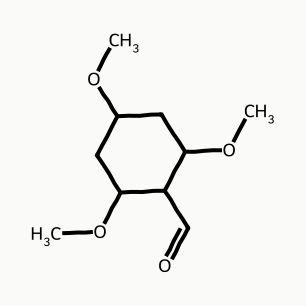 COC1CC(OC)C(C=O)C(OC)C1